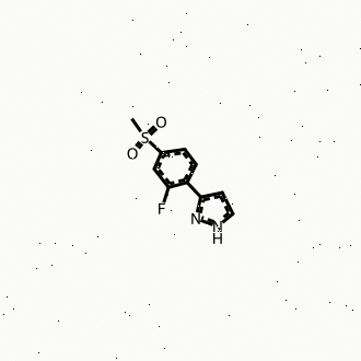 CS(=O)(=O)c1ccc(-c2cc[nH]n2)c(F)c1